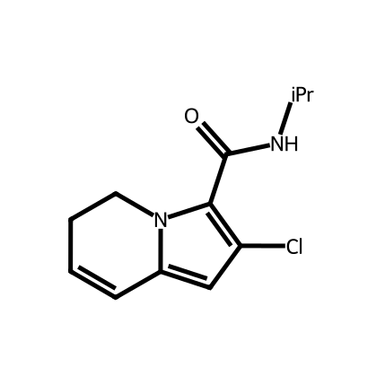 CC(C)NC(=O)c1c(Cl)cc2n1CCC=C2